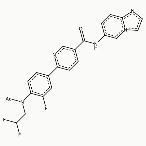 CC(=O)N(CC(F)F)c1ccc(-c2ccc(C(=O)Nc3ccc4nccn4c3)cn2)cc1F